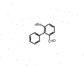 CCCCc1cccc(C=O)c1-c1ccccc1